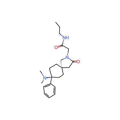 CCCNC(=O)CN1C[C@]2(CC[C@](c3ccccc3)(N(C)C)CC2)CC1=O